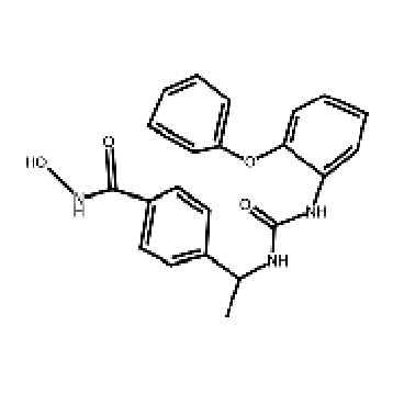 CC(NC(=O)Nc1ccccc1Oc1ccccc1)c1ccc(C(=O)NO)cc1